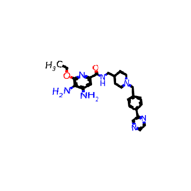 CCOc1nc(C(=O)NCC2CCN(Cc3ccc(-c4cnccn4)cc3)CC2)cc(N)c1N